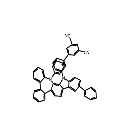 N#Cc1cc(C#N)cc(-c2cccc(-n3c4ccc(-c5ccccc5)cc4c4ccc5c(c43)N(c3ccccc3)c3ccccc3-c3ccccc3-5)c2)c1